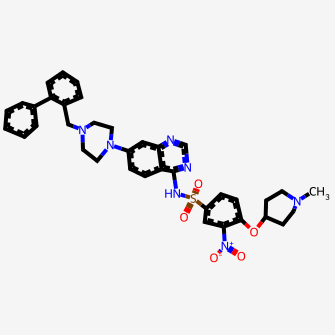 CN1CCC(Oc2ccc(S(=O)(=O)Nc3ncnc4cc(N5CCN(Cc6ccccc6-c6ccccc6)CC5)ccc34)cc2[N+](=O)[O-])CC1